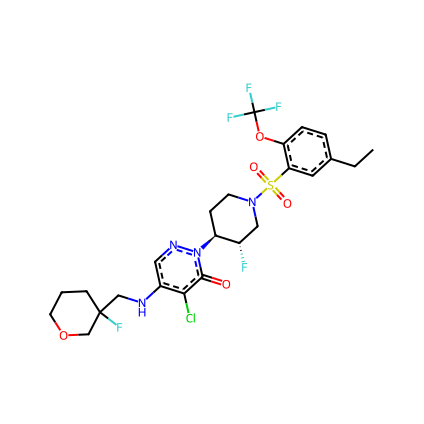 CCc1ccc(OC(F)(F)F)c(S(=O)(=O)N2CC[C@H](n3ncc(NCC4(F)CCCOC4)c(Cl)c3=O)[C@@H](F)C2)c1